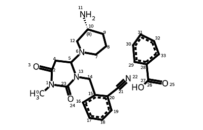 CN1C(=O)CC(N2CCC[C@@H](N)C2)N(Cc2ccccc2C#N)C1=O.O=C(O)c1ccccc1